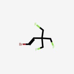 FCC(C=CBr)(CF)CF